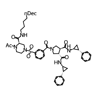 CCCCCCCCCCCCCCNC(=O)[C@H]1CN(S(=O)(=O)c2cccc(C(=O)N3C[C@@H](C(=O)N[C@H]4C[C@@H]4c4ccccc4)[C@H](C(=O)N[C@H]4C[C@@H]4c4ccccc4)C3)c2)CCN1C(C)=O